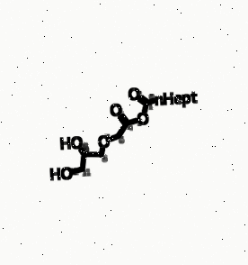 CCCCCCCC(=O)OC(=O)COCC(O)CO